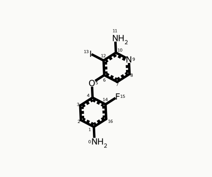 Nc1ccc(Oc2ccnc(N)c2I)c(F)c1